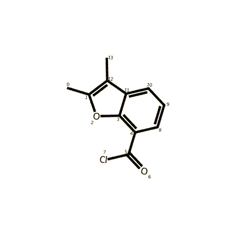 Cc1oc2c(C(=O)Cl)cccc2c1C